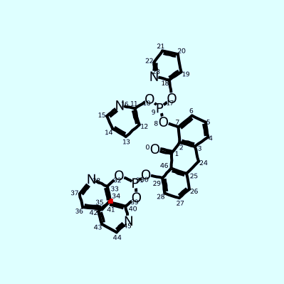 O=C1c2c(cccc2OP(Oc2ccccn2)Oc2ccccn2)Cc2cccc(OP(Oc3ccccn3)Oc3ccccn3)c21